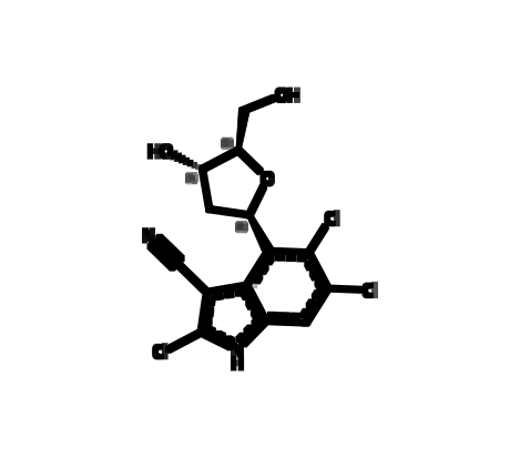 N#Cc1c(Cl)[nH]c2cc(Cl)c(Cl)c([C@H]3C[C@H](O)[C@@H](CO)O3)c12